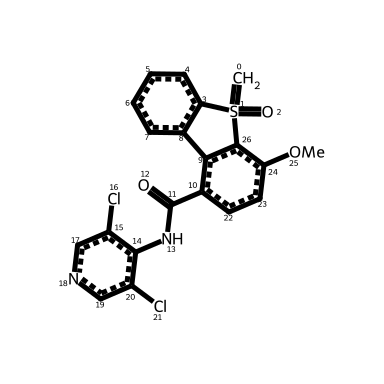 C=S1(=O)c2ccccc2-c2c(C(=O)Nc3c(Cl)cncc3Cl)ccc(OC)c21